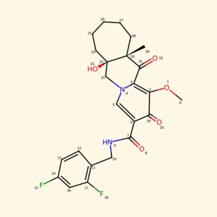 COc1c2n(cc(C(=O)NCc3ccc(F)cc3F)c1=O)C[C@]1(O)CCCCC[C@]1(C)C2=O